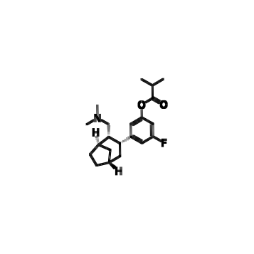 CC(C)C(=O)Oc1cc(F)cc([C@@H]2C[C@@H]3CC[C@H](C3)[C@@H]2CN(C)C)c1